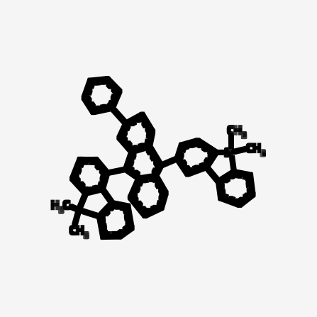 CC1(C)c2ccccc2-c2c(-c3c4ccccc4c(-c4ccc5c(c4)-c4ccccc4[Si]5(C)C)c4ccc(-c5ccccc5)cc34)cccc21